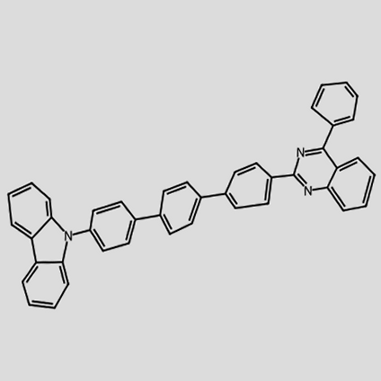 c1ccc(-c2nc(-c3ccc(-c4ccc(-c5ccc(-n6c7ccccc7c7ccccc76)cc5)cc4)cc3)nc3ccccc23)cc1